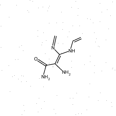 C=CN/C(N=C)=C(\N)C(N)=O